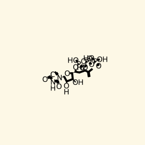 C=C(C)CCC(OP(=O)(O)OP(=O)(O)OP(=O)(O)O)[C@H]1O[C@@H](n2ccc(=O)[nH]c2=O)[C@H](O)[C@@H]1O